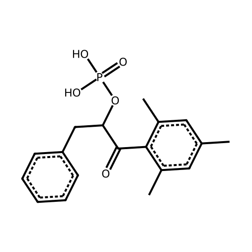 Cc1cc(C)c(C(=O)C(Cc2ccccc2)OP(=O)(O)O)c(C)c1